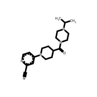 CC(C)N1CCN(C(=O)C2CCN(c3ccnc(C#N)c3)CC2)CC1